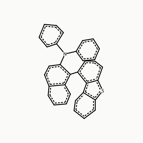 c1ccc(N(c2ccccc2)c2ccc3ccccc3c2-c2cccc3sc4ccccc4c23)cc1